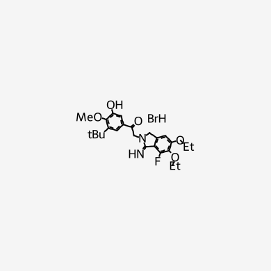 Br.CCOc1cc2c(c(F)c1OCC)C(=N)N(CC(=O)c1cc(O)c(OC)c(C(C)(C)C)c1)C2